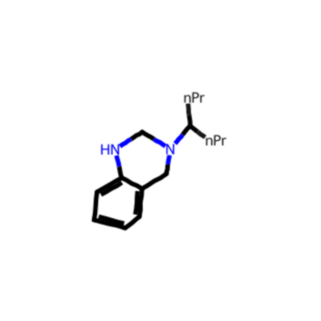 CCCC(CCC)N1CNc2ccccc2C1